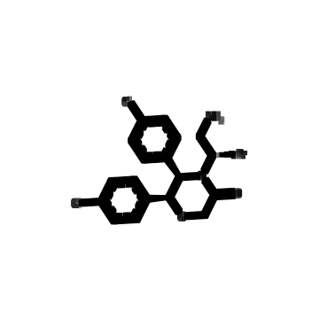 CCC[C@@H](CN)N1C(=O)CO[C@@H](c2ccc(Cl)cc2)[C@H]1c1ccc(Cl)cc1